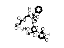 COCC(=O)OCC(C)NP(=O)(OC[C@H]1O[C@@H](n2ccc(=O)[nH]c2=O)[C@](Cl)(Br)[C@@H]1O)Oc1ccccc1